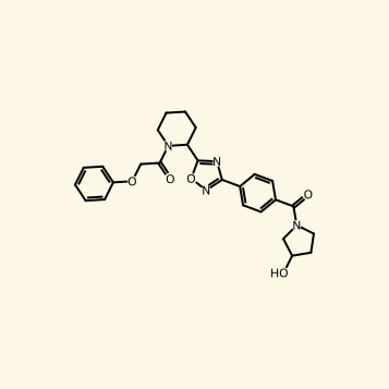 O=C(c1ccc(-c2noc(C3CCCCN3C(=O)COc3ccccc3)n2)cc1)N1CCC(O)C1